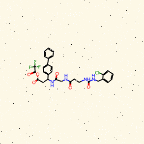 O=C(CCNC(=O)NCc1ccccc1Cl)NCC(=O)NC(CC(=O)OC(=O)C(F)(F)F)c1ccc(-c2ccccc2)cc1